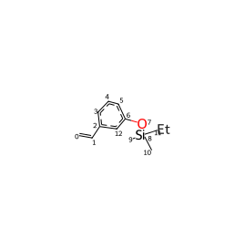 C=Cc1cccc(O[Si](C)(C)CC)c1